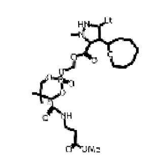 CCC1NN(C)C(C(=O)OCOP2(=O)OCC(C)(C)[C@H](C(=O)NCCC(=O)OC)O2)C1C1CCCCCCC1